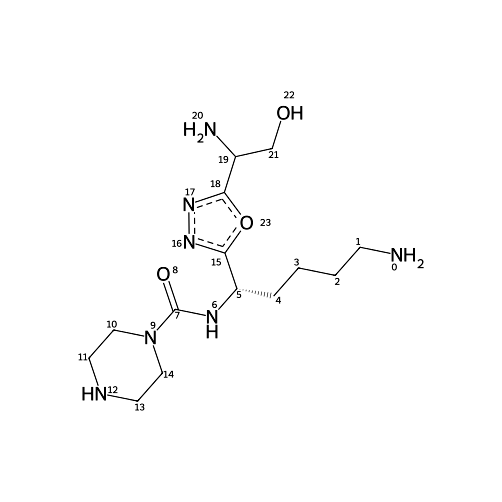 NCCCC[C@H](NC(=O)N1CCNCC1)c1nnc(C(N)CO)o1